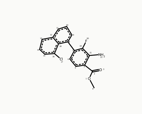 COC(=O)c1ccc(-c2cccc3cccc(Cl)c23)c(F)c1N